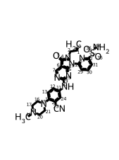 C=CCn1c(=O)c2cnc(Nc3ccc(N4CCN(C)CC4)c(C#N)c3)nc2n1-c1cccc(S(N)(=O)=O)n1